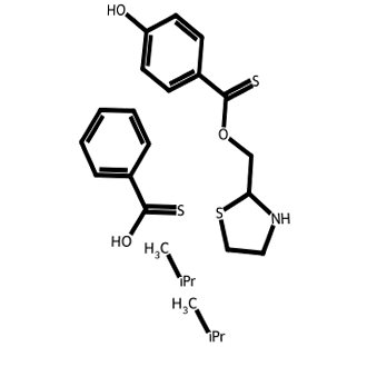 CC(C)C.CC(C)C.OC(=S)c1ccccc1.Oc1ccc(C(=S)OCC2NCCS2)cc1